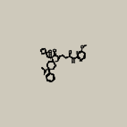 COc1ccnc(NC(=O)CCN2C[C@]3(CC[C@@](c4ccccc4)(N(C)C)CC3)N(CC3(O)CCC3)C2=O)n1